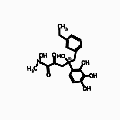 CCc1cccc(C[C@@](O)(CC(=O)C(=O)N(C)O)c2ccc(O)c(O)c2O)c1